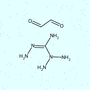 NN=C(N)N(N)N.O=CC=O